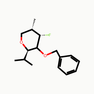 CC(C)[C@H]1OC[C@H](C)[C@H](F)C1OCc1ccccc1